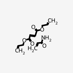 C=CC(N)=O.C=CCOC(=O)C=CC(=O)OCC=C